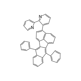 c1ccc(-c2c3c(c(-c4ccccc4)c4ccccc24)-c2ccc(-c4cccnc4-c4ccccn4)c4cccc-3c24)cc1